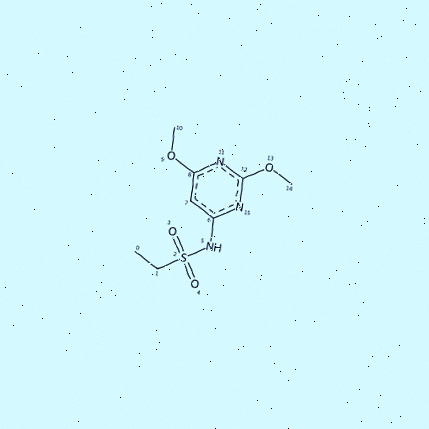 CCS(=O)(=O)Nc1cc(OC)nc(OC)n1